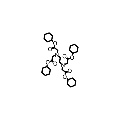 O=C(CN(CCN(CC(=O)OC1CCCCC1)CC(=O)OC1CCCCC1)CC(=O)OC1CCCCC1)OC1CCCCC1